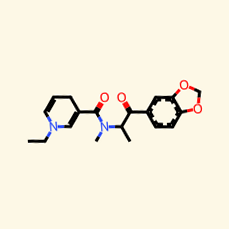 CCN1C=CCC(C(=O)N(C)C(C)C(=O)c2ccc3c(c2)OCO3)=C1